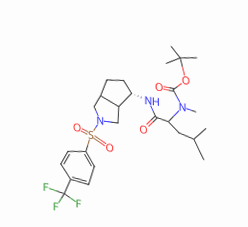 CC(C)CC(C(=O)N[C@H]1CCC2CN(S(=O)(=O)c3ccc(C(F)(F)F)cc3)CC21)N(C)C(=O)OC(C)(C)C